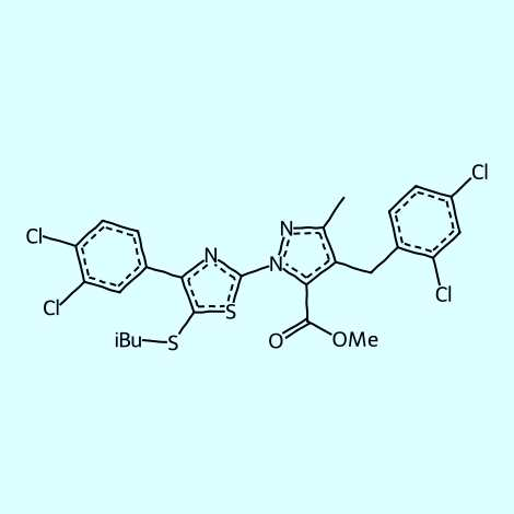 CCC(C)Sc1sc(-n2nc(C)c(Cc3ccc(Cl)cc3Cl)c2C(=O)OC)nc1-c1ccc(Cl)c(Cl)c1